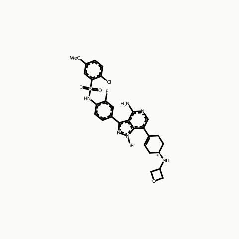 COc1ccc(Cl)c(S(=O)(=O)Nc2ccc(-c3nn(C(C)C)c4c(C5=CC[C@H](NC6COC6)CC5)cnc(N)c34)cc2F)c1